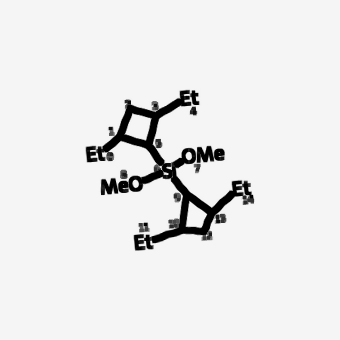 CCC1CC(CC)C1[Si](OC)(OC)C1C(CC)CC1CC